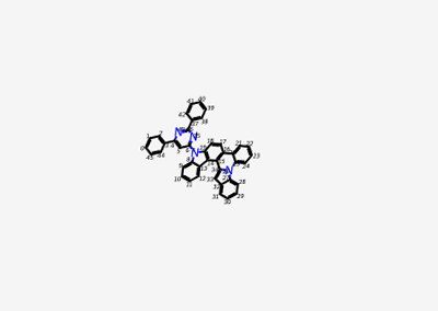 c1ccc(-c2cc(-n3c4ccccc4c4c5c(ccc43)c3ccccc3n3c4ccccc4cc53)nc(-c3ccccc3)n2)cc1